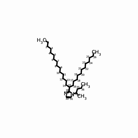 CCCCCCCCCCCCCCCC(CCCCCCCCCCCC)c1nccn1C(C)CCC